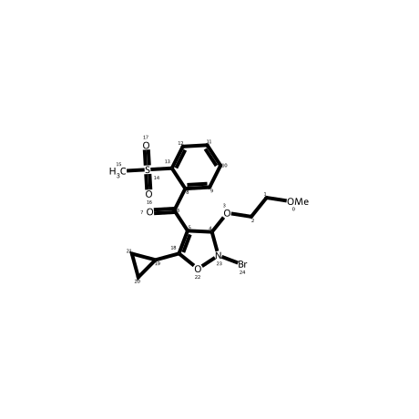 COCCOC1C(C(=O)c2ccccc2S(C)(=O)=O)=C(C2CC2)ON1Br